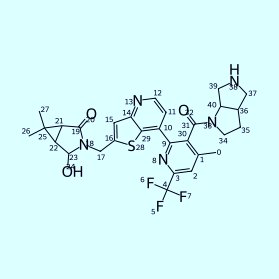 Cc1cc(C(F)(F)F)nc(-c2ccnc3cc(CN4C(=O)C5C(C4O)C5(C)C)sc23)c1C(=O)N1CCC2CNCC21